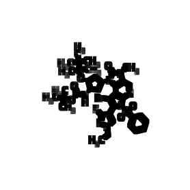 CCn1cc(-c2c(Br)c3c(ncc4c3n([C@H]3C[C@H](NC(=O)OC(C)(C)C)[C@H](O[Si](C)(C)C(C)(C)C)C3)c(=O)n4C)n2S(=O)(=O)c2ccccc2)c(F)n1